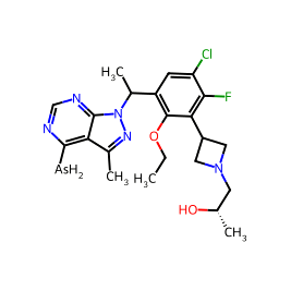 CCOc1c(C(C)n2nc(C)c3c([AsH2])ncnc32)cc(Cl)c(F)c1C1CN(C[C@H](C)O)C1